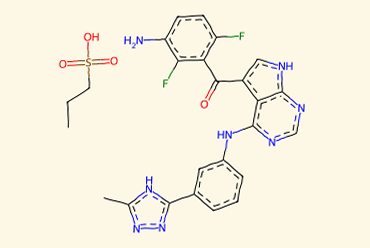 CCCS(=O)(=O)O.Cc1nnc(-c2cccc(Nc3ncnc4[nH]cc(C(=O)c5c(F)ccc(N)c5F)c34)c2)[nH]1